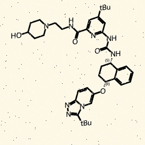 CC(C)(C)c1cc(NC(=O)N[C@H]2CC[C@@H](Oc3ccc4nnc(C(C)(C)C)n4c3)c3ccccc32)nc(C(=O)NCCN2CCC(O)CC2)c1